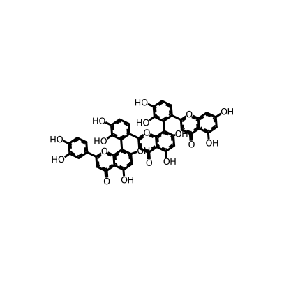 O=c1cc(-c2ccc(O)c(O)c2-c2c(O)cc(O)c3c(=O)cc(-c4ccc(O)c(O)c4-c4c(O)cc(O)c5c(=O)cc(-c6ccc(O)c(O)c6)oc45)oc23)oc2cc(O)cc(O)c12